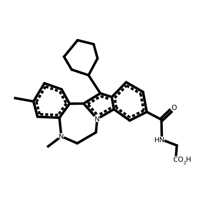 Cc1ccc2c(c1)N(C)CCn1c-2c(C2CCCCC2)c2ccc(C(=O)NCC(=O)O)cc21